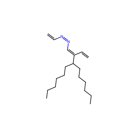 C=C/N=N\C=C(/C=C)C(CCCCCC)CCCCCC